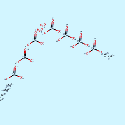 O.O.O=[Si]([O-])[O-].O=[Si]([O-])[O-].O=[Si]([O-])[O-].O=[Si]([O-])[O-].O=[Si]([O-])[O-].O=[Si]([O-])[O-].O=[Si]([O-])[O-].[Al+3].[Al+3].[Ca+2].[Ca+2].[Mg+2].[Mg+2]